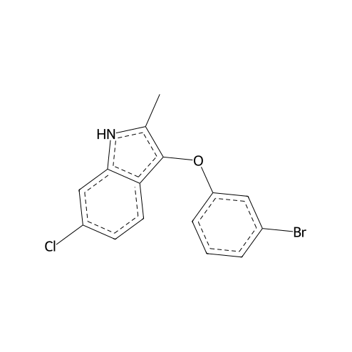 Cc1[nH]c2cc(Cl)ccc2c1Oc1cccc(Br)c1